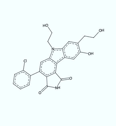 O=C1NC(=O)c2c1c(-c1ccccc1Cl)cc1c2c2cc(O)c(CCO)cc2n1CCO